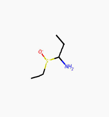 CCC(N)[S+]([O-])CC